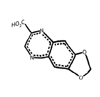 O=C(O)c1cnc2cc3c(cc2n1)OCO3